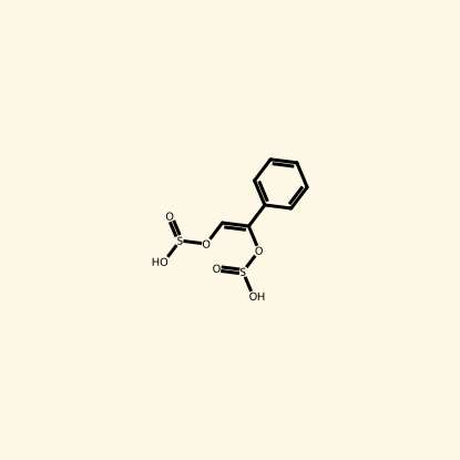 O=S(O)O/C=C(\OS(=O)O)c1ccccc1